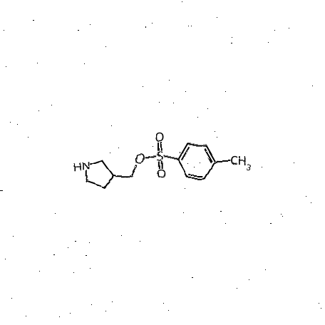 Cc1ccc(S(=O)(=O)OCC2CCNC2)cc1